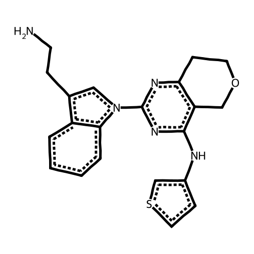 NCCc1cn(-c2nc3c(c(Nc4ccsc4)n2)COCC3)c2ccccc12